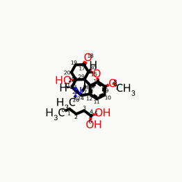 CCCCC(O)O.COc1ccc2c3c1O[C@H]1C(=O)CC[C@@]4(O)[C@@H](C2)N(C)CC[C@]314